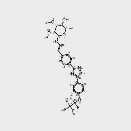 CO[C@@H]1[C@@H](O)[C@H](C)O[C@@H](O/N=C/c2ccc(-c3ncn(-c4ccc(OC(F)(F)C(F)(F)F)cc4)n3)cc2)[C@@H]1OC